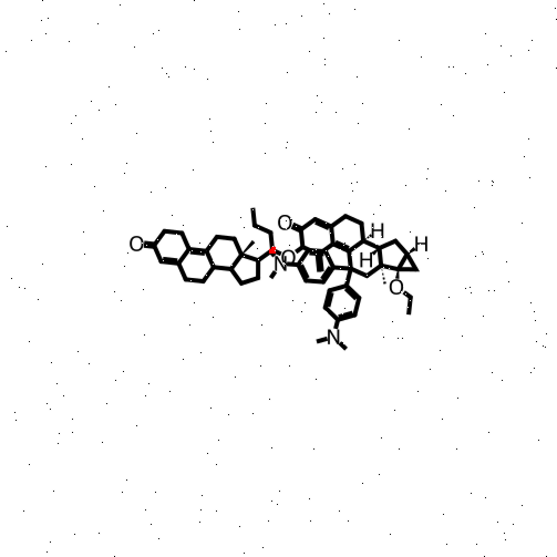 C=C1C2=C3[C@@H](CCC2=CC(=O)C1OC(CCC)C1CCC2C4CCC5=CC(=O)CCC5=C4CC[C@]12C)[C@@H]1C[C@@H]2C[C@]2(OCC)[C@@]1(C)CC3(c1ccc(N(C)C)cc1)c1ccc(N(C)C)cc1